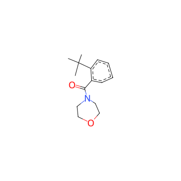 CC(C)(C)c1ccccc1C(=O)N1CCOCC1